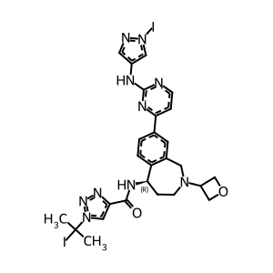 CC(C)(I)n1cc(C(=O)N[C@@H]2CCN(C3COC3)Cc3cc(-c4ccnc(Nc5cnn(I)c5)n4)ccc32)nn1